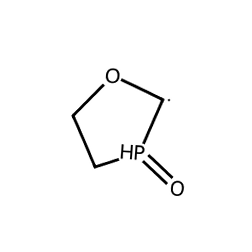 O=[PH]1[CH]OCC1